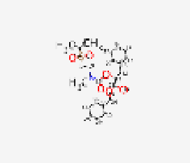 CC(C)S(=O)(=O)CCN(C)C(=O)O[C@@H](Cc1ccccc1)C(=O)OCc1ccccc1